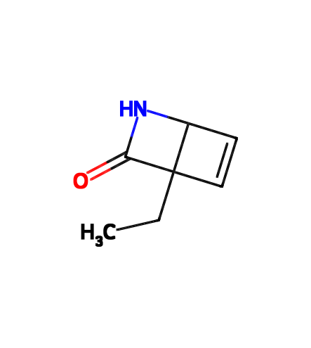 CCC12C=CC1NC2=O